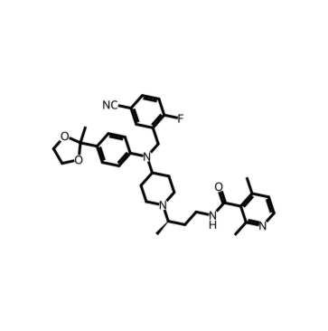 Cc1ccnc(C)c1C(=O)NCC[C@@H](C)N1CCC(N(Cc2cc(C#N)ccc2F)c2ccc(C3(C)OCCO3)cc2)CC1